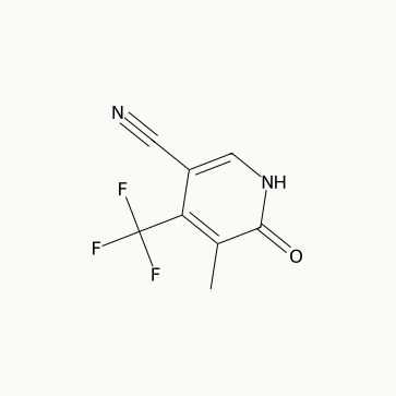 Cc1c(C(F)(F)F)c(C#N)c[nH]c1=O